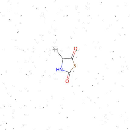 [2H]C1NC(=O)SC1=O